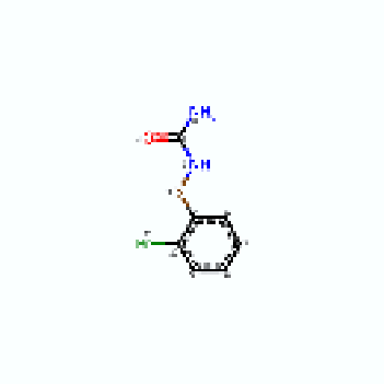 NC(=O)NSc1ccccc1Br